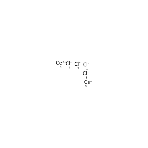 [Ce+3].[Cl-].[Cl-].[Cl-].[Cl-].[Cs+]